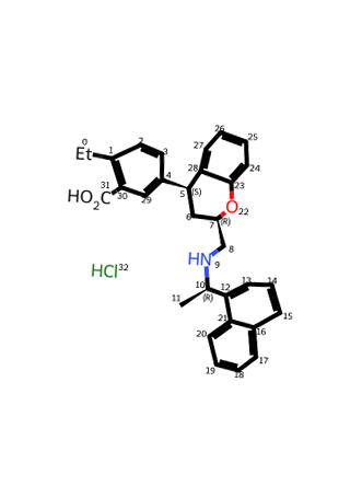 CCc1ccc([C@@H]2C[C@H](CN[C@H](C)c3cccc4ccccc34)Oc3ccccc32)cc1C(=O)O.Cl